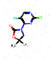 CC1(C)CN(c2nc(Cl)ncc2F)C(=O)O1